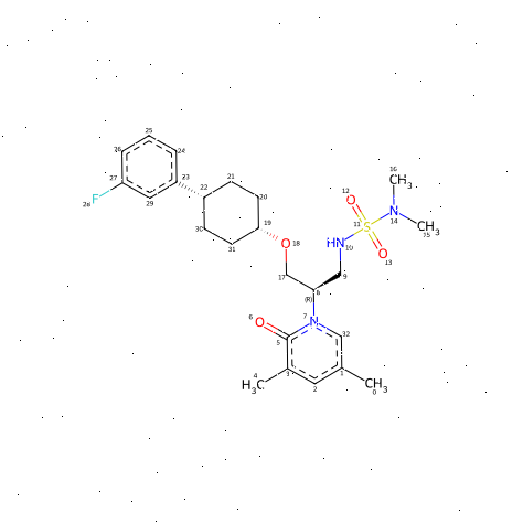 Cc1cc(C)c(=O)n([C@H](CNS(=O)(=O)N(C)C)CO[C@H]2CC[C@@H](c3cccc(F)c3)CC2)c1